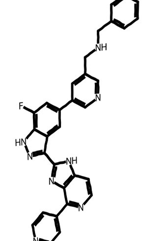 Fc1cc(-c2cncc(CNCc3ccccc3)c2)cc2c(-c3nc4c(-c5ccncc5)nccc4[nH]3)n[nH]c12